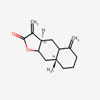 C=C1CCC[C@]2(C)CC3OC(=O)C(=C)[C@H]3CC12